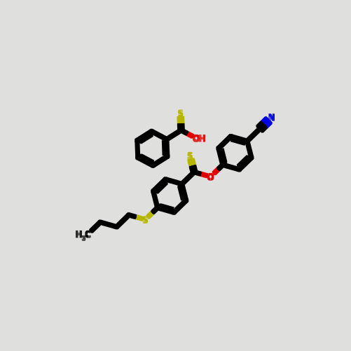 CCCCSc1ccc(C(=S)Oc2ccc(C#N)cc2)cc1.OC(=S)c1ccccc1